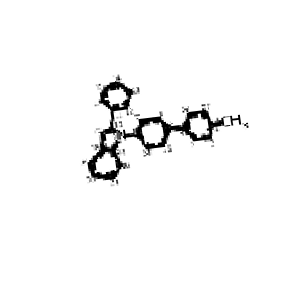 Cc1ccc(-c2ccc(-n3c(-c4ccccc4)cc4ccccc43)cc2)cc1